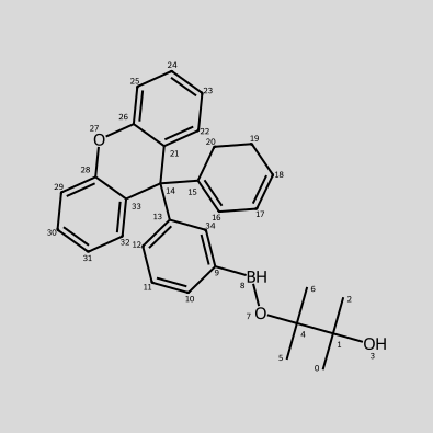 CC(C)(O)C(C)(C)OBc1cccc(C2(C3=CC=CCC3)c3ccccc3Oc3ccccc32)c1